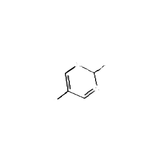 CC(C)C1=CNC(F)N=C1